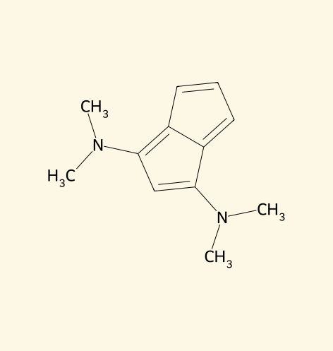 CN(C)C1=CC(N(C)C)=C2C=CC=C12